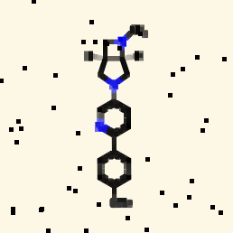 COc1ccc(-c2ccc(N3C[C@H]4CN(C)[C@H]4C3)cn2)cc1